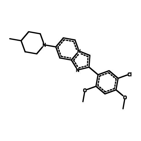 COc1cc(OC)c(-c2cn3ccc(N4CCC(C)CC4)cc3n2)cc1Cl